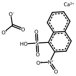 O=C([O-])[O-].O=[N+]([O-])c1ccc2ccccc2c1S(=O)(=O)O.[Ca+2]